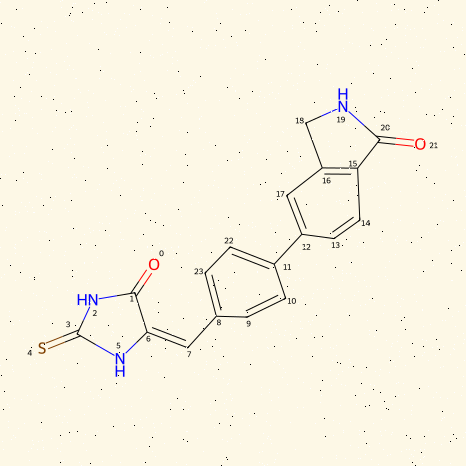 O=C1NC(=S)NC1=Cc1ccc(-c2ccc3c(c2)CNC3=O)cc1